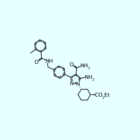 CCOC(=O)[C@H]1CCC[C@H](n2nc(-c3ccc(CNC(=O)c4ccccc4C)cc3)c(C(N)=O)c2N)C1